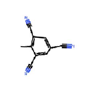 [CH2]c1c(C#N)cc(C#N)cc1C#N